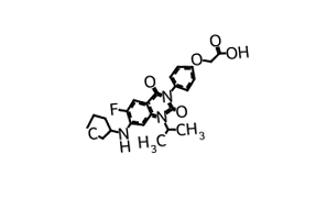 CC(C)n1c(=O)n(-c2ccc(OCC(=O)O)cc2)c(=O)c2cc(F)c(NC3CCCCC3)cc21